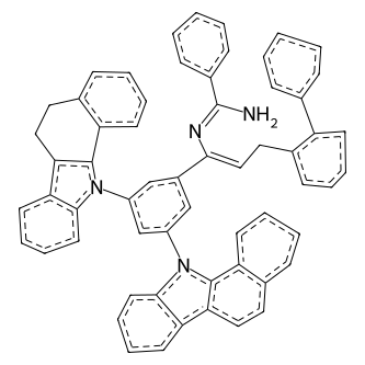 N/C(=N\C(=C/Cc1ccccc1-c1ccccc1)c1cc(-n2c3c(c4ccccc42)CCc2ccccc2-3)cc(-n2c3ccccc3c3ccc4ccccc4c32)c1)c1ccccc1